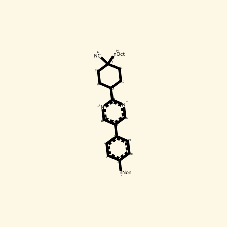 CCCCCCCCCc1ccc(-c2cnc(C3CCC(C#N)(CCCCCCCC)CC3)nc2)cc1